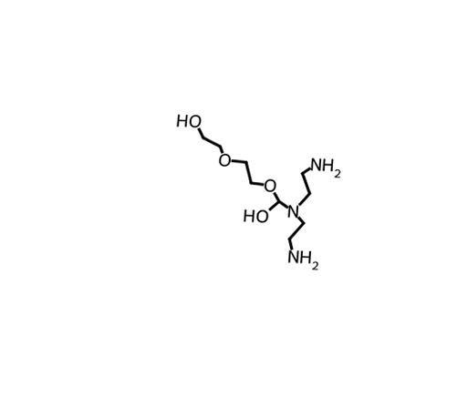 NCCN(CCN)C(O)OCCOCCO